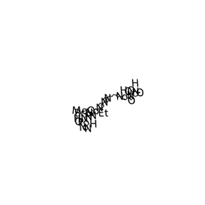 CCc1cc(Nc2ncc(Br)c(Nc3ccc4nccnc4c3P(C)(C)=O)n2)c(OC)cc1N1CCC(N2CCN(CCCC3CN(c4ccc5c(c4)C(=O)N(C4CCC(=O)NC4O)C5=O)C3)CC2)CC1